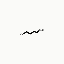 [C]C(C)CCCCCCCC